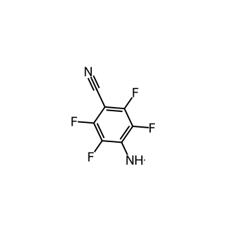 N#Cc1c(F)c(F)c([NH])c(F)c1F